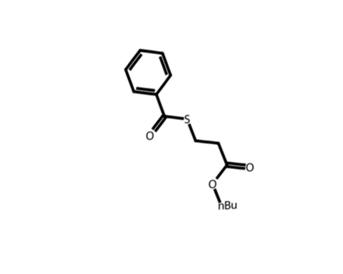 CCCCOC(=O)CCSC(=O)c1ccccc1